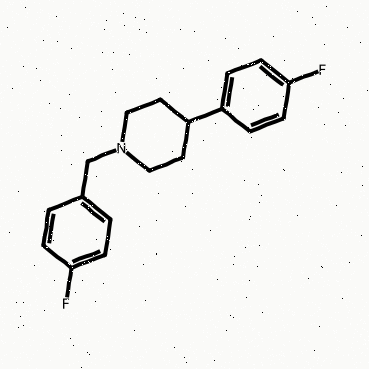 Fc1ccc(CN2CCC(c3ccc(F)cc3)CC2)cc1